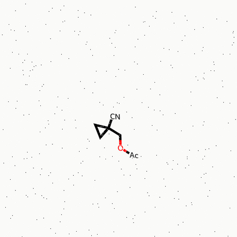 CC(=O)OCC1(C#N)CC1